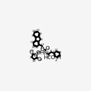 O=C(NC(Cc1ccccc1)C(=O)O)OCc1cccc2c1Cc1ccccc1-2.O=C1CCC(=O)N1O